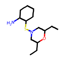 CCC1CN(SC2CCCCC2N)CC(CC)O1